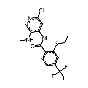 CCSc1cc(C(F)(F)F)cnc1C(=O)Nc1cc(Cl)nnc1NC